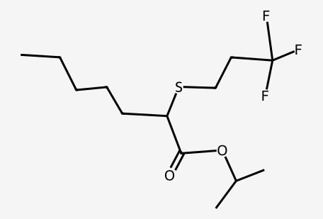 CCCCCC(SCCC(F)(F)F)C(=O)OC(C)C